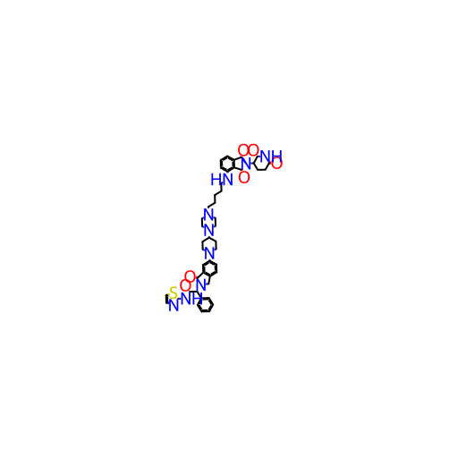 O=C1CCC(N2C(=O)c3cccc(NCCCCCN4CCN(C5CCN(c6ccc7c(c6)C(=O)N(C(C(=O)Nc6nccs6)c6ccccc6)C7)CC5)CC4)c3C2=O)C(=O)N1